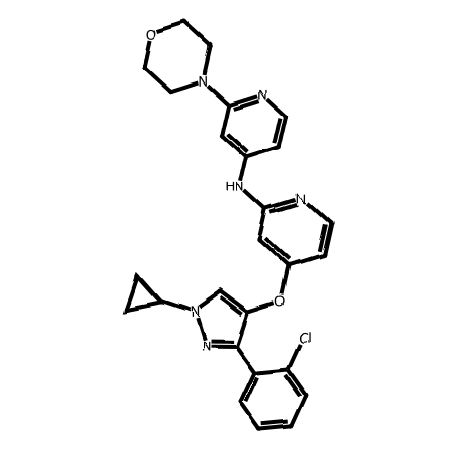 Clc1ccccc1-c1nn(C2CC2)cc1Oc1ccnc(Nc2ccnc(N3CCOCC3)c2)c1